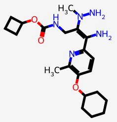 Cc1nc(/C(N)=C(\CNC(=O)OC2CCC2)N(C)N)ccc1OC1CCCCC1